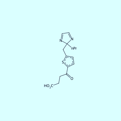 CCCC1(Cc2ccc(C(=O)CCC(=O)O)s2)N=CC=N1